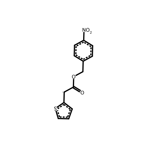 O=C([CH]c1cccs1)OCc1ccc([N+](=O)[O-])cc1